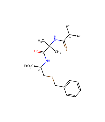 CCOC(=O)[C@H](CSCc1ccccc1)NC(=O)C(C)(C)NC(=S)[C@H](C(C)=O)C(C)C